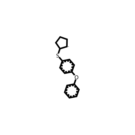 [CH]1CCCC1Sc1ccc(Oc2ccccc2)cc1